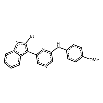 CCc1nn2ccccc2c1-c1cncc(Nc2ccc(OC)cc2)n1